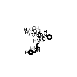 CC(C)(C)OC(=O)N1CCN(C(=O)NC2CCCCC2)[C@@H](C(=O)NCCc2cnc(Cc3ccc(F)cc3)[nH]2)C1